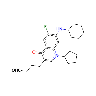 O=CCCCc1cn(C2CCCC2)c2cc(NC3CCCCC3)c(F)cc2c1=O